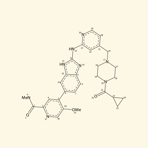 CNC(=O)c1cc(-c2ccc3nc(Nc4cc(CN5CCN(C(=O)C6CC6)CC5)ccn4)[nH]c3c2)c(OC)cn1